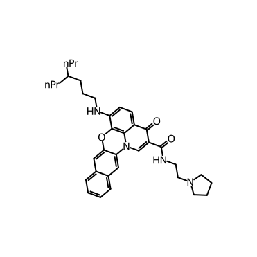 CCCC(CCC)CCCNc1ccc2c(=O)c(C(=O)NCCN3CCCC3)cn3c2c1Oc1cc2ccccc2cc1-3